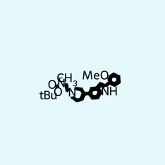 COc1ccccc1-c1cc2cc(C3=CCCN(CCN(C)C(=O)OC(C)(C)C)CC3)ccc2[nH]1